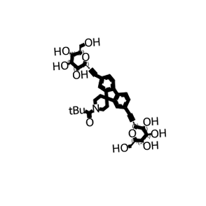 CC(C)(C)C(=O)N1CCC2(CC1)c1cc(C#C[C@H]3O[C@H](CO)[C@@H](O)[C@H](O)[C@@H]3O)ccc1-c1ccc(C#C[C@H]3O[C@H](CO)[C@@H](O)[C@H](O)[C@@H]3O)cc12